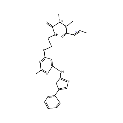 C/C=C/C(=O)N(C)[C@@H](C)C(=O)NCCOc1cc(Nc2ncc(-c3ccccc3)s2)nc(C)n1